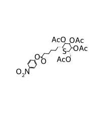 CC(=O)OC[C@@H]1S[C@H](CCCCCC(=O)Oc2ccc([N+](=O)[O-])cc2)[C@H](OC(C)=O)[C@@H](OC(C)=O)[C@H]1OC(C)=O